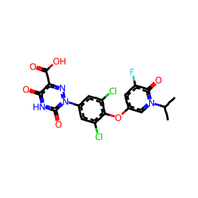 CC(C)n1cc(Oc2c(Cl)cc(-n3nc(C(=O)O)c(=O)[nH]c3=O)cc2Cl)cc(F)c1=O